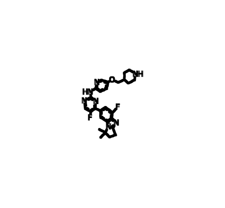 CC1(C)CCc2nc3c(F)cc(-c4nc(Nc5ccc(OCC6CCNCC6)cn5)ncc4F)cc3n21